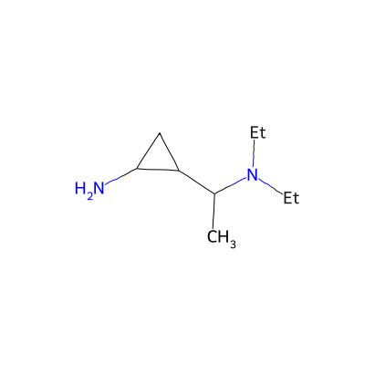 CCN(CC)C(C)C1CC1N